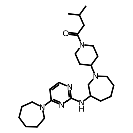 CC(C)CC(=O)N1CCC(N2CCCCC(Nc3nccc(N4CCCCCC4)n3)C2)CC1